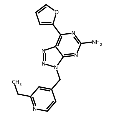 CCc1cc(Cn2nnc3c(-c4ccco4)nc(N)nc32)ccn1